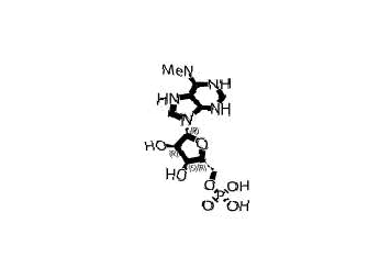 CNC1NCNC2C1NCN2[C@@H]1O[C@H](COP(=O)(O)O)[C@@H](O)[C@H]1O